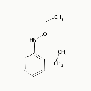 CC.CCONc1ccccc1